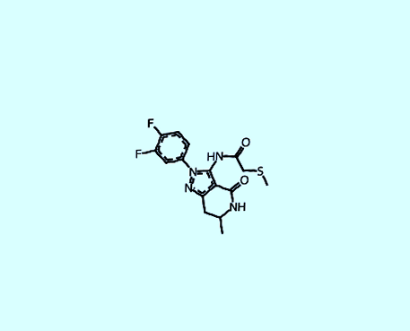 CSCC(=O)Nc1c2c(nn1-c1ccc(F)c(F)c1)CC(C)NC2=O